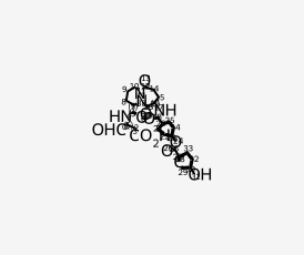 O=C[C@H](CC(=O)O)NC(=O)[C@@H]1CCCN2C(=O)CC[C@H](NC(=O)c3ccc(OC(=O)c4ccc(O)cc4)cc3)C(=O)N12